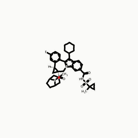 CN1CC2CCC(C1)N2C(=O)[C@]12C[C@H]1c1cc(F)ccc1-c1c(C3CCCCC3)c3ccc(C(=O)NS(=O)(=O)C4(C)CC4)cc3n1C2